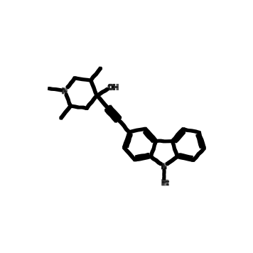 CCn1c2ccccc2c2cc(C#CC3(O)CC(C)N(C)CC3C)ccc21